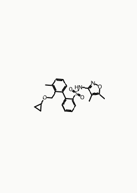 Cc1cccc(-c2ccccc2S(=O)(=O)Nc2noc(C)c2C)c1COC1CC1